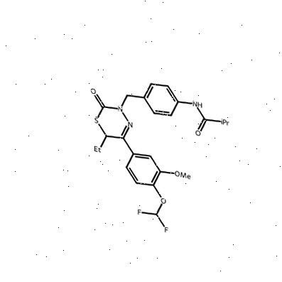 CCC1SC(=O)N(Cc2ccc(NC(=O)C(C)C)cc2)N=C1c1ccc(OC(F)F)c(OC)c1